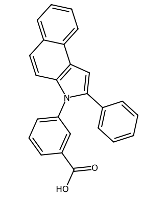 O=C(O)c1cccc(-n2c(-c3ccccc3)cc3c4ccccc4ccc32)c1